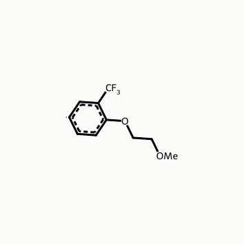 COCCOc1cc[c]cc1C(F)(F)F